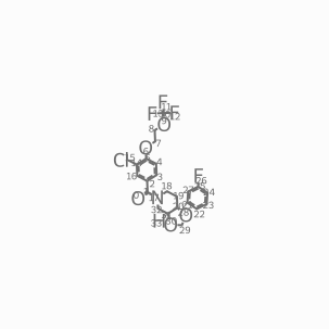 O=C(c1ccc(OCCOC(F)(F)F)c(Cl)c1)N1CC[C@@]2(c3cccc(F)c3)OCO[C@H]2C1